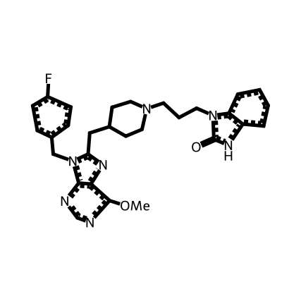 COc1ncnc2c1nc(CC1CCN(CCCn3c(=O)[nH]c4ccccc43)CC1)n2Cc1ccc(F)cc1